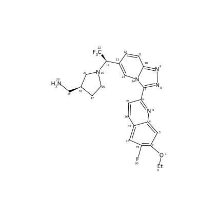 CCOc1cc2nc(-c3nnc4ccc([C@@H](N5CC[C@@H](CN)C5)C(F)(F)F)cn34)ccc2cc1F